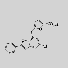 CCOC(=O)c1ccc(Cc2cc(Cl)cc3cc(-c4ccccc4)oc23)o1